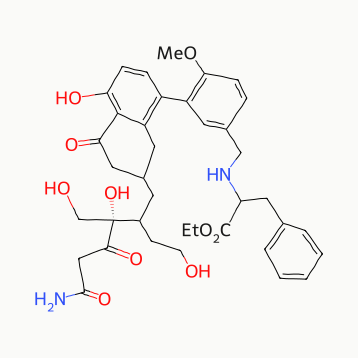 CCOC(=O)C(Cc1ccccc1)NCc1ccc(OC)c(-c2ccc(O)c3c2CC(CC(CCO)[C@](O)(CO)C(=O)CC(N)=O)CC3=O)c1